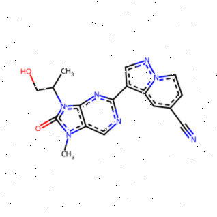 CC(CO)n1c(=O)n(C)c2cnc(-c3cnn4ccc(C#N)cc34)nc21